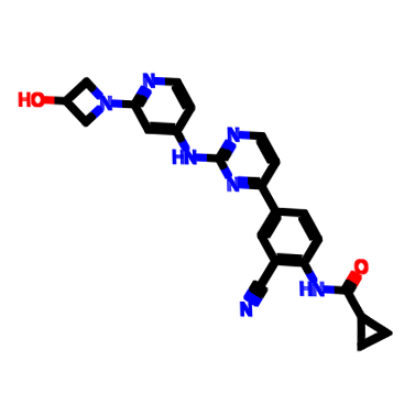 N#Cc1cc(-c2ccnc(Nc3ccnc(N4CC(O)C4)c3)n2)ccc1NC(=O)C1CC1